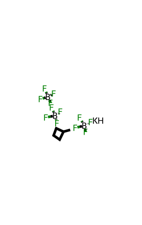 CC1CCC1.F[B-](F)(F)F.F[B-](F)(F)F.F[B-](F)(F)F.[KH]